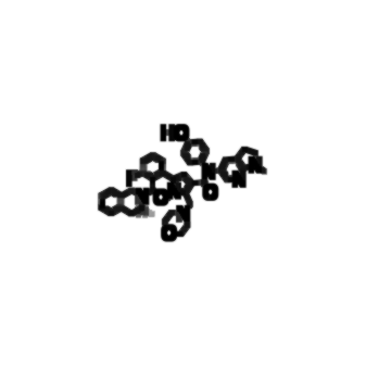 C[C@@H]1Cc2ccccc2CN1C(=O)c1c(F)cccc1-c1cc(C(=O)N(c2ccc(O)cc2)c2cnc3c(c2)CCN3C)c(CN2CCOCC2)n1C